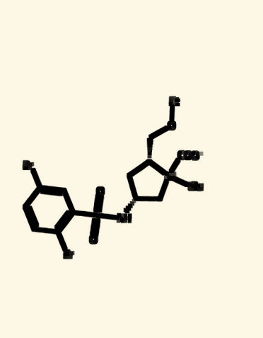 CCOC[C@H]1C[C@@H](NS(=O)(=O)c2cc(Br)ccc2Br)C[N+]1(C(=O)[O-])C(C)(C)C